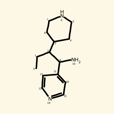 CCC(C1CCNCC1)C(N)c1ccncc1